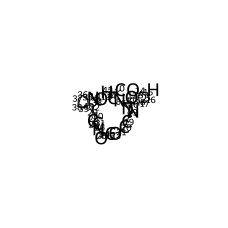 O=C(O)[C@@H]1C[C@H]2CN1c1nc(nc3c1oc1ccccc13)CCCOCC(=O)N1CCC(CC1)C1C(=Nc3ccccc31)O2